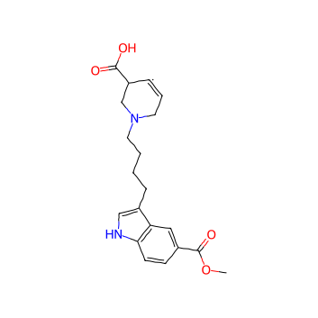 COC(=O)c1ccc2[nH]cc(CCCCN3CC=[C]C(C(=O)O)C3)c2c1